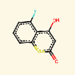 O=c1cc(O)c2c(F)cccc2s1